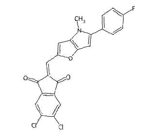 Cn1c(-c2ccc(F)cc2)cc2oc(C=C3C(=O)c4cc(Cl)c(Cl)cc4C3=O)cc21